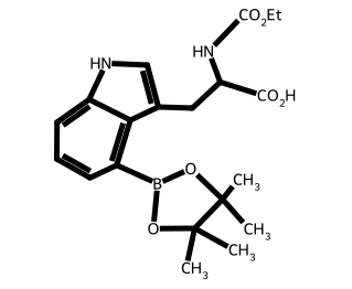 CCOC(=O)NC(Cc1c[nH]c2cccc(B3OC(C)(C)C(C)(C)O3)c12)C(=O)O